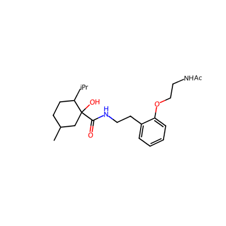 CC(=O)NCCOc1ccccc1CCNC(=O)C1(O)CC(C)CCC1C(C)C